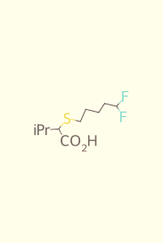 CC(C)C(SCCCCC(F)F)C(=O)O